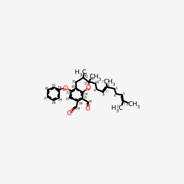 CC(C)=CCC/C(C)=C/CCC1(C)Oc2c(C=O)c(C=O)cc(Oc3ccccc3)c2CC1C